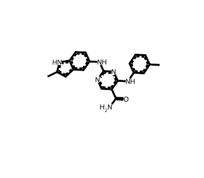 Cc1cccc(Nc2nc(Nc3ccc4[nH]c(C)cc4c3)ncc2C(N)=O)c1